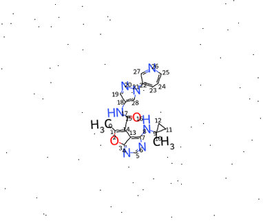 Cc1oc2ncnc(NC3(C)CC3)c2c1C(=O)Nc1cnn(-c2cccnc2)c1